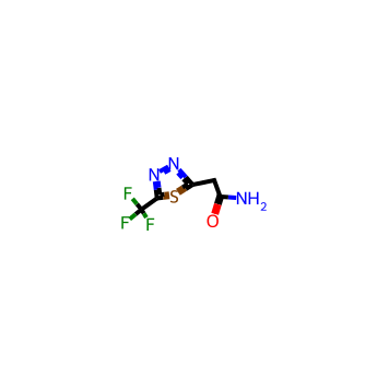 NC(=O)Cc1nnc(C(F)(F)F)s1